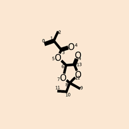 C=C(C)C(=O)OC1OC(C)(CC)OC1=O